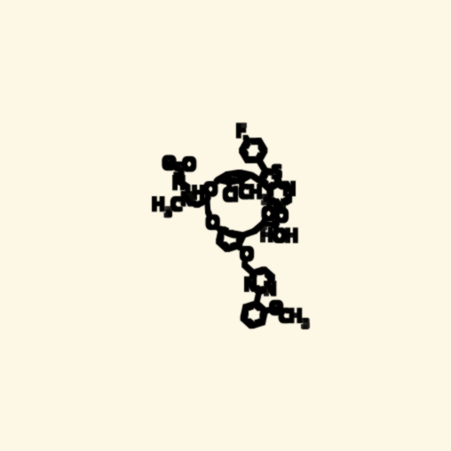 COc1ccccc1-c1nccc(COc2ccc3cc2C[C@H](C(=O)O)Oc2ncnc4sc(-c5ccc(F)cc5)c(c24)-c2ccc(c(Cl)c2C)O[C@H](CN(C)CC[SH](=O)=O)CO3)n1